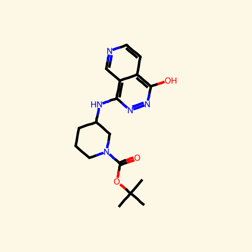 CC(C)(C)OC(=O)N1CCCC(Nc2nnc(O)c3ccncc23)C1